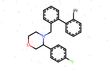 CC(C)c1ccccc1-c1ccccc1CN1CCOCC1c1ccc(F)cc1